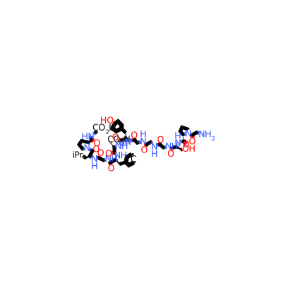 CC(C)C[C@H](NC(=O)CNC(=O)[C@H](Cc1ccccc1)NC(=O)[C@H](CC(=O)O)NC(=O)[C@H](Cc1ccc(O)cc1)NC(=O)CNC(=O)CNC(=O)CNC(=O)[C@H](CO)NC(=O)[C@@H]1CCCN1C(=O)CN)C(=O)N1CCC[C@H]1C(=O)NCC(=O)O